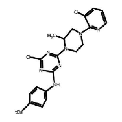 CC1CN(c2ncccc2Cl)CCN1c1nc(Cl)nc(Nc2ccc(C(C)(C)C)cc2)n1